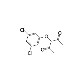 CC(=O)C(Oc1cc(Cl)cc(Cl)c1)C(C)=O